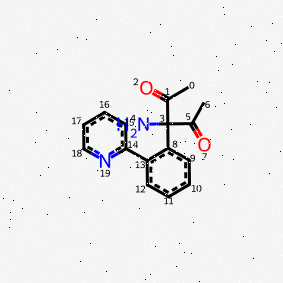 CC(=O)C(N)(C(C)=O)c1ccccc1-c1ccccn1